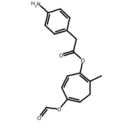 CC1=C(OC(=O)Cc2ccc(N)cc2)C=CC(OC=O)=CC1